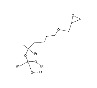 CCO[Si](OCC)(OC(C)(CCCCOCC1CO1)C(C)C)C(C)C